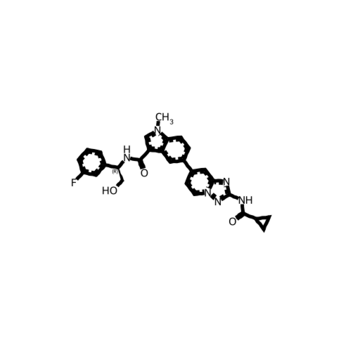 Cn1cc(C(=O)N[C@@H](CO)c2cccc(F)c2)c2cc(-c3ccn4nc(NC(=O)C5CC5)nc4c3)ccc21